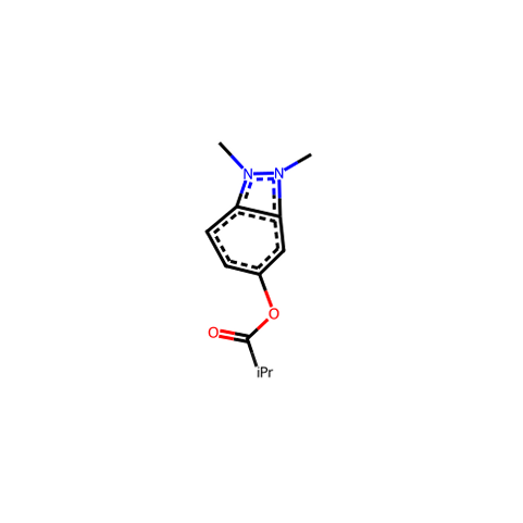 CC(C)C(=O)Oc1ccc2c(c1)n(C)n2C